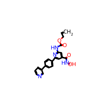 C=CCOC(=O)Nc1cc(C(=O)NO)cc(-c2ccc(-c3cccnc3)cc2)n1